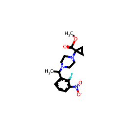 COC(=O)C1(N2CCN(C(C)c3cccc([N+](=O)[O-])c3F)CC2)CC1